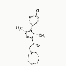 Cc1cc(C(=O)CN2CCCCCC2)c(C)n1-c1ccc(Cl)cc1